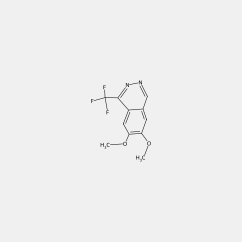 COc1cc2cnnc(C(F)(F)F)c2cc1OC